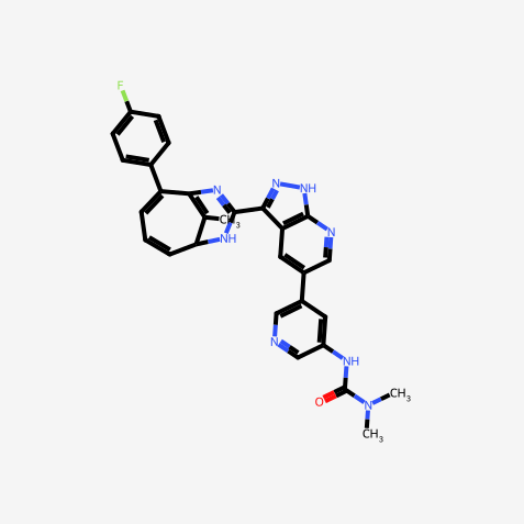 CC1=C2N=C(c3n[nH]c4ncc(-c5cncc(NC(=O)N(C)C)c5)cc34)NC1C=CC=C2c1ccc(F)cc1